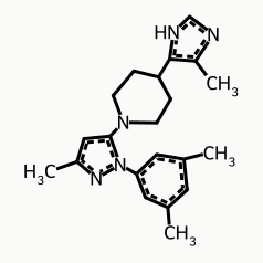 Cc1cc(C)cc(-n2nc(C)cc2N2CCC(c3[nH]cnc3C)CC2)c1